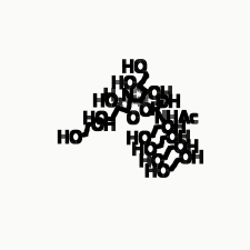 CC(=O)NP(O)O[C@@H]([C@@H](O)[C@H](O)CO)[C@@H](N)C(=O)C(O)CO.OCCO.OCCO.OCCO.OCCO.OCCO